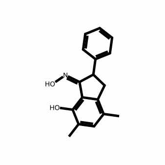 Cc1cc(C)c2c(c1O)C(=NO)C(c1ccccc1)C2